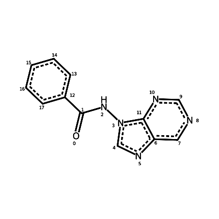 O=C(Nn1cnc2cncnc21)c1ccccc1